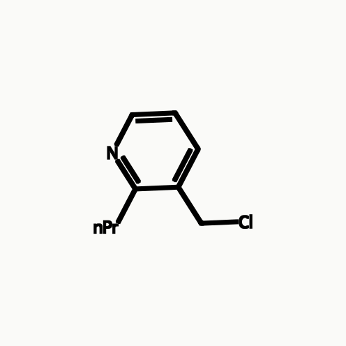 CCCc1ncccc1CCl